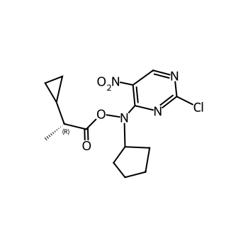 C[C@@H](C(=O)ON(c1nc(Cl)ncc1[N+](=O)[O-])C1CCCC1)C1CC1